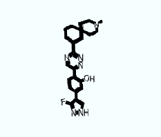 CN1CCC2(CCCC(c3ncc(-c4ccc(-c5c[nH]nc5F)cc4O)nn3)C2)CC1